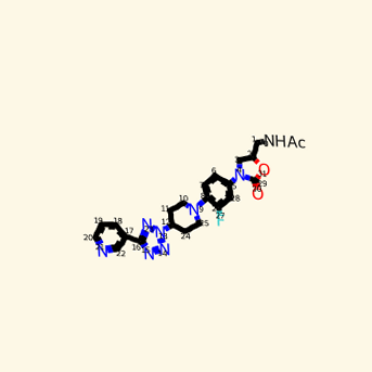 CC(=O)NCC1CN(c2ccc(N3CCC(n4nnc(-c5cccnc5)n4)CC3)c(F)c2)C(=O)O1